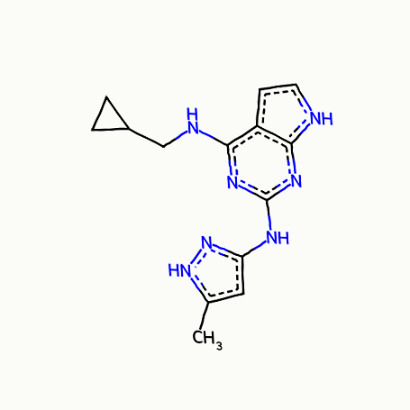 Cc1cc(Nc2nc(NCC3CC3)c3cc[nH]c3n2)n[nH]1